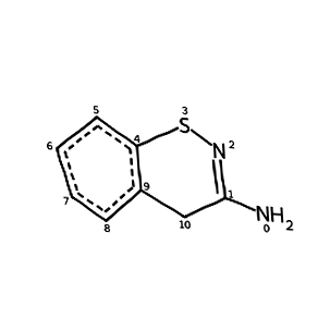 NC1=NSc2ccccc2C1